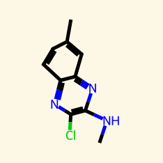 CNc1nc2cc(C)ccc2nc1Cl